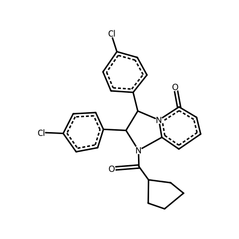 O=C(C1CCCC1)N1c2cccc(=O)n2C(c2ccc(Cl)cc2)C1c1ccc(Cl)cc1